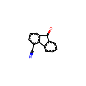 N#Cc1cccc2c1-c1ccccc1C2=O